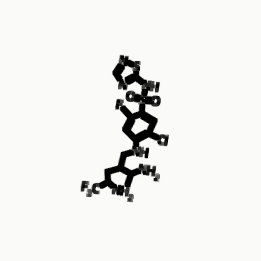 CC(N)C(CNc1cc(F)c(S(=O)(=O)Nc2ncns2)cc1Cl)CC(N)C(F)(F)F